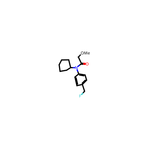 CO[CH]C(=O)N(c1ccc(CF)cc1)C1CCCCC1